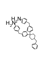 Nc1ccc(Cc2ccc(C3(c4ccc(Cc5ccc(N)cc5)cc4)CCC(Cc4ccccc4)CC3)cc2)cc1